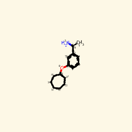 C[C@H](N)c1cccc(OC2CCCCCC2)c1